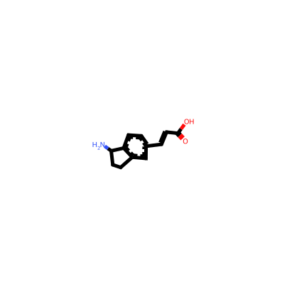 NC1CCc2cc(/C=C/C(=O)O)ccc21